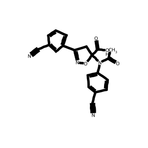 CC(=O)N(c1ccc(C#N)cc1)C1(C(=O)O)CC(c2cccc(C#N)c2)=NO1